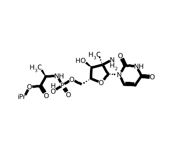 CC(C)OC(=O)[C@@H](C)NP(=O)(O)OC[C@H]1O[C@@H](n2ccc(=O)[nH]c2=O)[C@](C)(N)[C@@H]1O